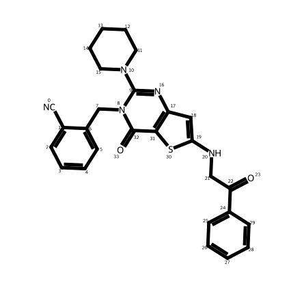 N#Cc1ccccc1Cn1c(N2CCCCC2)nc2cc(NCC(=O)c3ccccc3)sc2c1=O